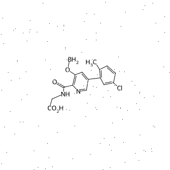 BOc1cc(-c2cc(Cl)ccc2C)cnc1C(=O)NCC(=O)O